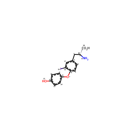 N[C@H](Cc1ccc(Oc2ccc(O)cc2)c(I)c1)C(=O)O